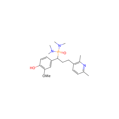 COc1cc(C(CCc2ccc(C)nc2C)P(=O)(N(C)C)N(C)C)ccc1O